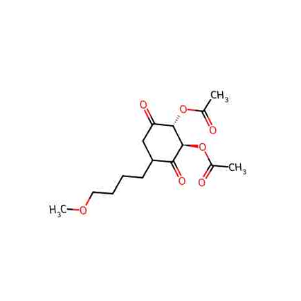 COCCCCC1CC(=O)[C@H](OC(C)=O)[C@@H](OC(C)=O)C1=O